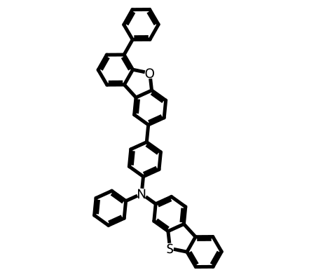 c1ccc(-c2cccc3c2oc2ccc(-c4ccc(N(c5ccccc5)c5ccc6c(c5)sc5ccccc56)cc4)cc23)cc1